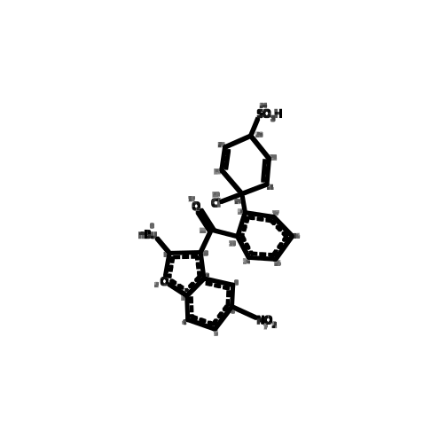 CCCCc1oc2ccc([N+](=O)[O-])cc2c1C(=O)c1ccccc1C1(Cl)C=CC(S(=O)(=O)O)C=C1